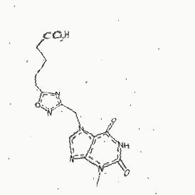 Cn1c(=O)[nH]c(=O)c2c1ncn2Cc1noc(CCCC(=O)O)n1